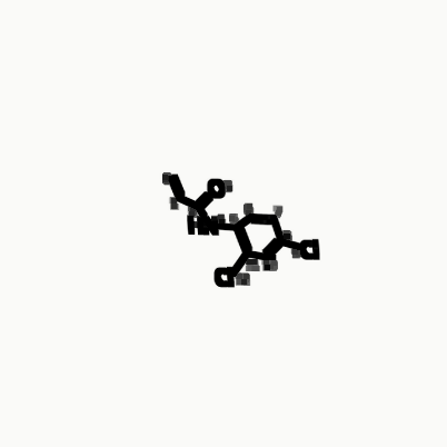 C=CC(=O)Nc1ccc(Cl)[c]c1Cl